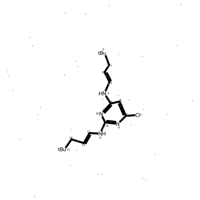 CC(C)(C)C/C=C/Nc1cc(Cl)nc(N/C=C/CC(C)(C)C)n1